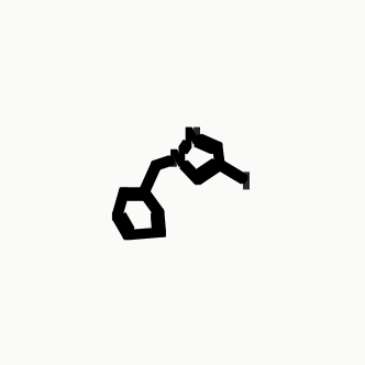 Ic1cnn(Cc2ccccc2)c1